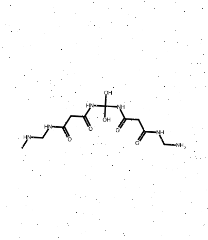 CNCNC(=O)CC(=O)NC(O)(O)NC(=O)CC(=O)NCN